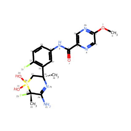 COc1cnc(C(=O)Nc2ccc(F)c([C@]3(C)CS(O)(O)[C@@](C)(F)C(N)=N3)c2)cn1